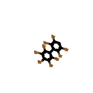 Brc1[c]c(Br)c(Br)c(-c2c(Br)c(Br)c(Br)c(Br)c2Br)c1Br